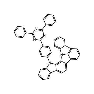 c1ccc(-c2nc(-c3ccccc3)nc(-c3ccc(-n4c5ccccc5c5ccc6c7cccc8c9ccccc9n(c87)c6c54)cc3)n2)cc1